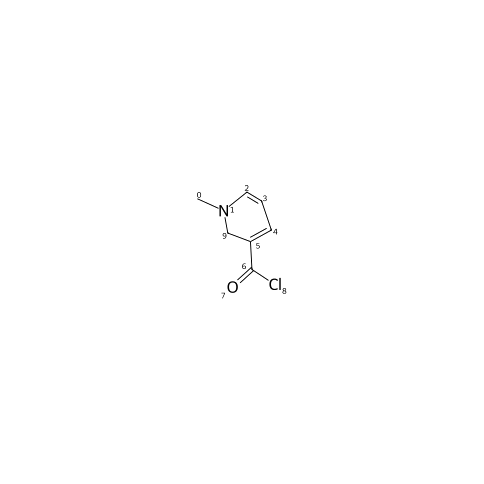 CN1C=CC=C(C(=O)Cl)C1